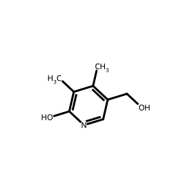 Cc1c(CO)cnc(O)c1C